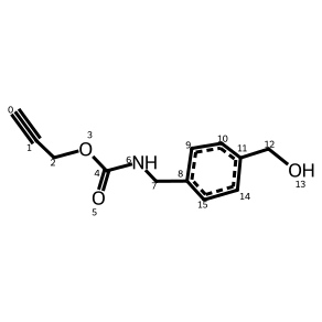 C#CCOC(=O)NCc1ccc(CO)cc1